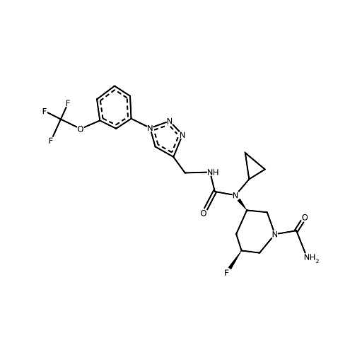 NC(=O)N1C[C@@H](F)C[C@@H](N(C(=O)NCc2cn(-c3cccc(OC(F)(F)F)c3)nn2)C2CC2)C1